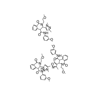 COCCN1C(=O)c2ccccc2C(C(=O)Nc2cccc(OC)c2)C1c1c(C)noc1C.COCCN1C(=O)c2ccccc2C(C(=O)Nc2cccc(OC)c2)C1c1cc(C)n(C)n1.COCCN1C(=O)c2ccccc2C(C(=O)Nc2cccc(OC)c2)C1c1cc(C)nn1C